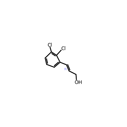 OC/C=C/c1cccc(Cl)c1Cl